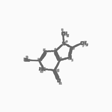 CCC(C)c1cc2c(nc(C)n2C)c(=O)[nH]1